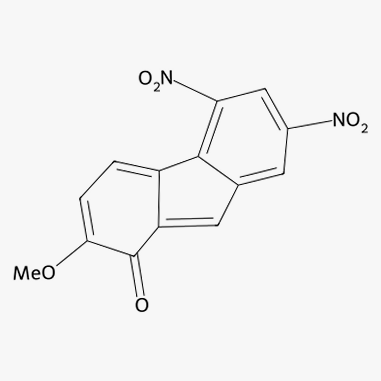 COC1=CC=C2C(=Cc3cc([N+](=O)[O-])cc([N+](=O)[O-])c32)C1=O